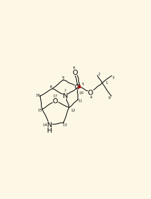 CC(C)(C)OC(=O)N1C2COCC13CNC(C2)O3